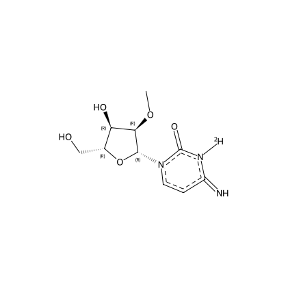 [2H]n1c(=N)ccn([C@@H]2O[C@H](CO)[C@@H](O)[C@H]2OC)c1=O